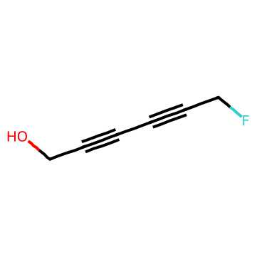 OCC#CC#CCF